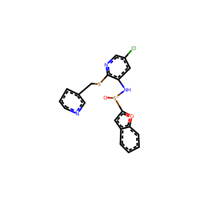 [O-][S+](Nc1cc(Cl)cnc1SCc1cccnc1)c1cc2ccccc2o1